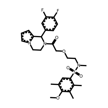 COc1c(C)cc(S(=O)(=O)N(C)CCOCC(=O)N2CCn3cccc3C2c2ccc(F)c(F)c2)c(C)c1C